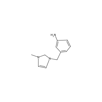 CN1C=CN(Cc2cccc(N)c2)C1